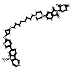 Cn1c2ccncc2c2ccc(-c3ccc(OC4CC(OCCCCCCCCN5CCN(c6ccc7c(c6)C(=O)N(C6CCC(=O)NC6=O)C7=O)CC5)C4)nc3)cc21